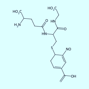 C=C(O)C1=CCC(SCC(NC(=O)CCC(N)C(=O)O)C(=O)NCC(=O)O)C(N=O)=C1